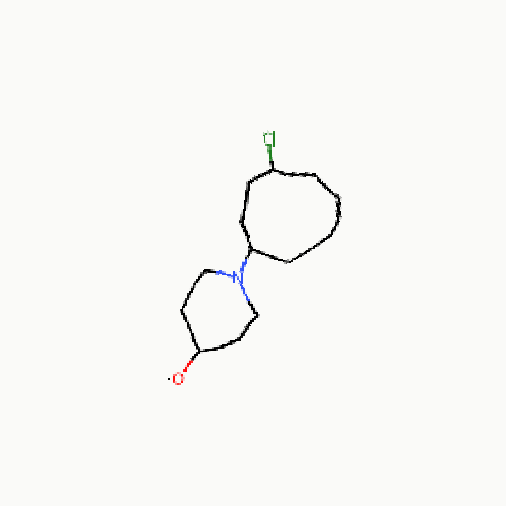 [O]C1CCN(C2CCCCC(Cl)CC2)CC1